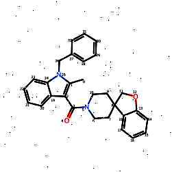 Cc1c(C(=O)N2CCC3(CC2)COc2ccccc23)c2ccccc2n1Cc1ccccc1